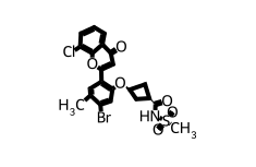 Cc1cc(-c2cc(=O)c3cccc(Cl)c3o2)c(O[C@H]2C[C@@H](C(=O)NS(C)(=O)=O)C2)cc1Br